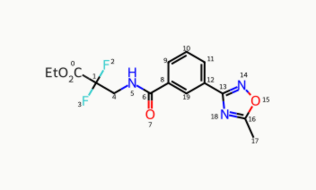 CCOC(=O)C(F)(F)CNC(=O)c1cccc(-c2noc(C)n2)c1